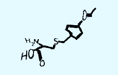 CCOc1ccc(CSCC(N)C(=O)O)cc1